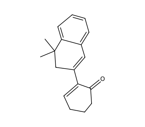 CC1(C)CC(C2=CCCCC2=O)=Cc2ccccc21